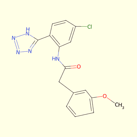 COc1cccc(CC(=O)Nc2cc(Cl)ccc2-c2nnn[nH]2)c1